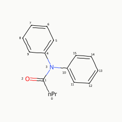 [CH2]CCC(=O)N(c1ccccc1)c1ccccc1